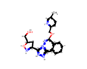 Cc1ccc(COc2nn3c(C4=NOC(CO)C4)nnc3c3ccccc23)nc1